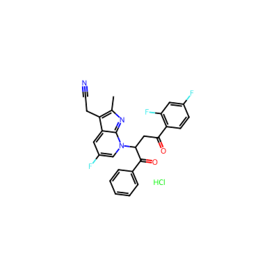 Cc1nc2n(C(CC(=O)c3ccc(F)cc3F)C(=O)c3ccccc3)cc(F)cc-2c1CC#N.Cl